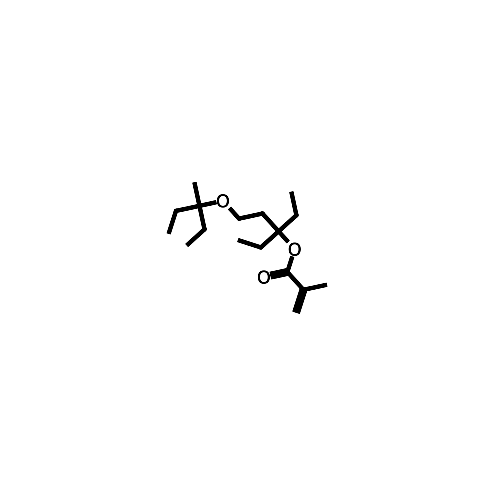 C=C(C)C(=O)OC(CC)(CC)CCOC(C)(CC)CC